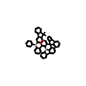 CC1(C)c2ccccc2-c2cc(N(c3ccccc3)c3ccccc3-c3cccc4c3-n3c5ccccc5c5cccc(c53)C43c4ccccc4-c4ccccc43)ccc21